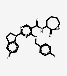 O=C(NC1CCCCNC1=O)c1cnc(N2CCc3cc(F)ccc32)nc1OCc1ccc(F)cc1